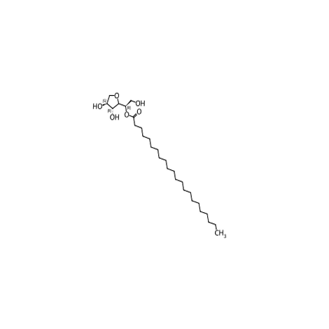 CCCCCCCCCCCCCCCCCCCCCC(=O)O[C@H](CO)C1OC[C@H](O)[C@H]1O